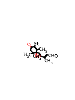 CCC1=C(C)C(O)(C=CC(C)=CC=O)C(C)(C)CC1=O